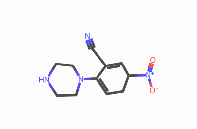 N#CC1=CC([N+](=O)[O-])CC=C1N1CCNCC1